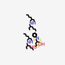 CCCCC(CC)CNCC(CC)CCCC.CCCCC(CC)CNCC(CC)CCCC.OC(=S)CC(C(O)=S)c1nc2ccccc2s1